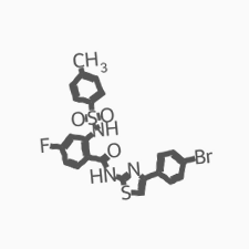 Cc1ccc(S(=O)(=O)Nc2cc(F)ccc2C(=O)Nc2nc(-c3ccc(Br)cc3)cs2)cc1